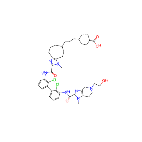 Cn1c(C(=O)Nc2cccc(-c3cccc(NC(=O)c4nc5c(n4C)CCN(CCO)C5)c3Cl)c2Cl)nc2c1CCC(CCC[C@H]1CC[C@H](C(=O)O)CC1)CCC2